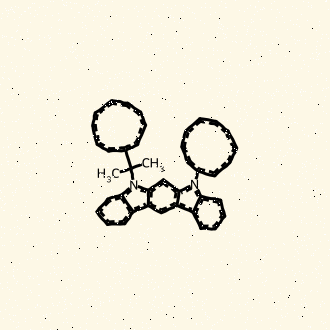 CC(C)(c1ccccccccc1)n1c2ccccc2c2cc3c4ccccc4n(-c4ccccccccc4)c3cc21